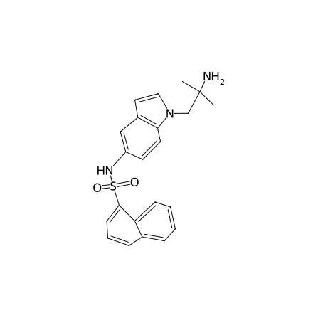 CC(C)(N)Cn1ccc2cc(NS(=O)(=O)c3cccc4ccccc34)ccc21